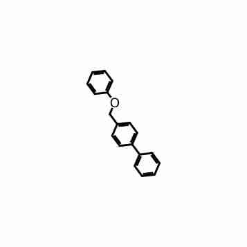 c1ccc(OCc2ccc(-c3ccccc3)cc2)cc1